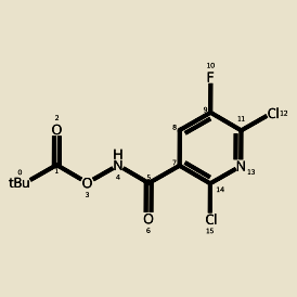 CC(C)(C)C(=O)ONC(=O)c1cc(F)c(Cl)nc1Cl